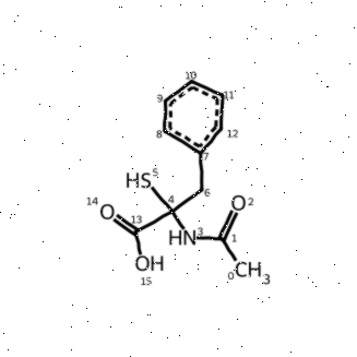 CC(=O)NC(S)(Cc1ccccc1)C(=O)O